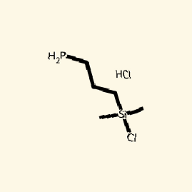 C[Si](C)(Cl)CCCP.Cl